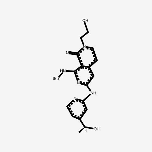 C[C@H](O)c1ccnc(Nc2cc3ccn(CCO)c(=O)c3c(NC(C)(C)C)n2)c1